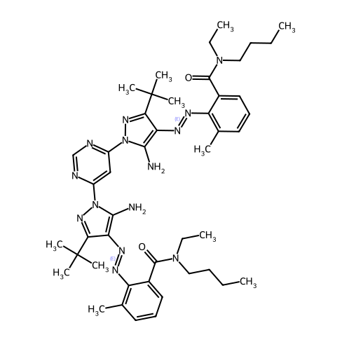 CCCCN(CC)C(=O)c1cccc(C)c1/N=N/c1c(C(C)(C)C)nn(-c2cc(-n3nc(C(C)(C)C)c(/N=N/c4c(C)cccc4C(=O)N(CC)CCCC)c3N)ncn2)c1N